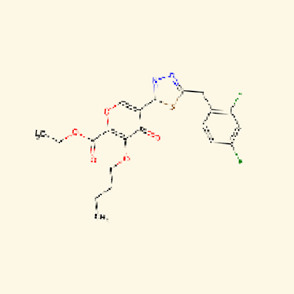 CCCCOc1c(C(=O)OCC)occ(-c2nnc(Cc3ccc(F)cc3F)s2)c1=O